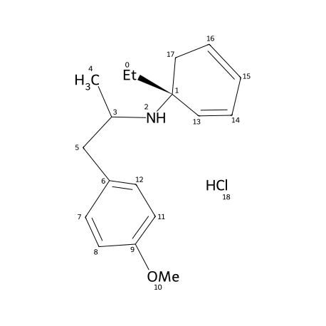 CC[C@]1(NC(C)Cc2ccc(OC)cc2)C=CC=CC1.Cl